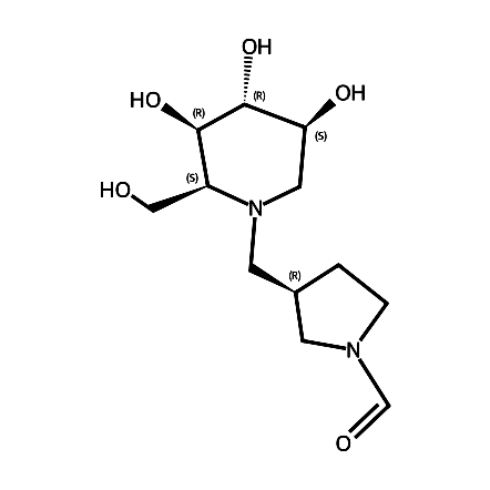 O=CN1CC[C@H](CN2C[C@H](O)[C@@H](O)[C@H](O)[C@@H]2CO)C1